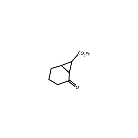 CCOC(=O)C1C2CCCC(=O)C21